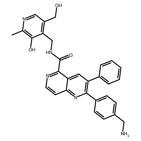 Cc1ncc(CO)c(CNC(=O)c2nccc3nc(-c4ccc(CN)cc4)c(-c4ccccc4)cc23)c1O